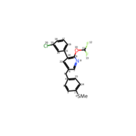 CSc1ccc(Cc2cnc(OC(F)F)c(-c3cccc(Cl)c3)c2)cc1